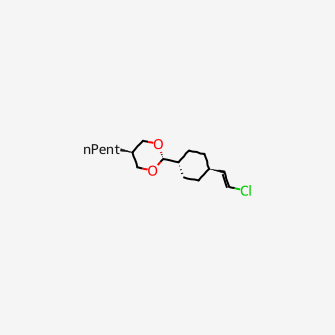 CCCCC[C@H]1CO[C@H]([C@H]2CC[C@H](/C=C/Cl)CC2)OC1